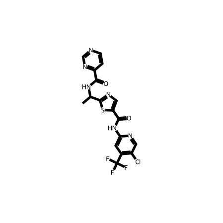 CC(NC(=O)c1ccncn1)c1ncc(C(=O)Nc2cc(C(F)(F)F)c(Cl)cn2)s1